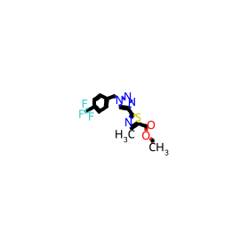 CCOC(=O)c1sc(-c2cn(Cc3ccc(C(F)(F)F)cc3)nn2)nc1C